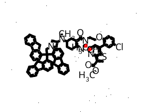 COC(=O)c1csc2c(-c3cc(Cl)ccc3OCCn3c(C)nc4c(c3=O)CC(N(C)C3CN(CC(c5cccc6c5Cc5ccccc5-6)(c5cccc6c5Cc5ccccc5-6)c5cccc6c5Cc5ccccc5-6)C3)CC4)cc(C)nc12